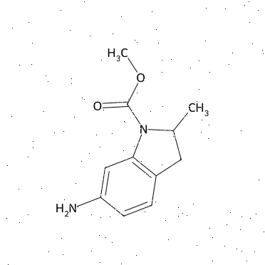 COC(=O)N1c2cc(N)ccc2CC1C